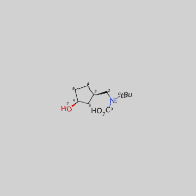 CC(C)(C)N(C[C@@H]1CC[C@H](O)C1)C(=O)O